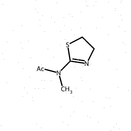 CC(=O)N(C)C1=NCCS1